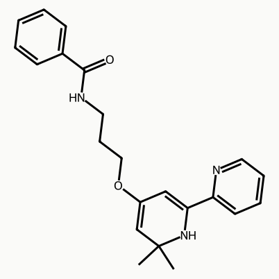 CC1(C)C=C(OCCCNC(=O)c2ccccc2)C=C(c2ccccn2)N1